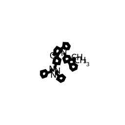 CC1(C)c2ccccc2-c2ccc(-n3c4ccccc4c4ccc5oc6cc(-c7nc(-c8ccccc8)nc(-c8ccccc8)n7)ccc6c5c43)cc21